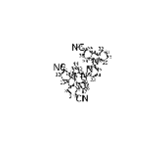 N#Cc1ccc2c(c1)C1(c3cc(C#N)ccc3-2)c2ccccc2N(c2cccc(-n3c4ccccc4c4cc(C#N)ccc43)n2)c2ccccc21